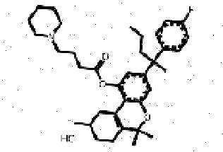 CCCC(C)(c1ccc(F)cc1)c1cc(OC(=O)CCCN2CCCCC2)c2c(c1)OC(C)(C)C1=C2CC(C)CC1.Cl